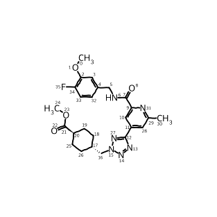 COc1cc(CNC(=O)c2cc(-c3nnn(C[C@H]4CC[C@H](C(=O)OC)CC4)n3)cc(C)n2)ccc1F